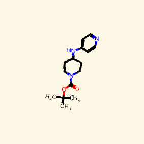 CC(C)(C)OC(=O)N1CCC(Nc2ccncc2)CC1